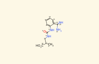 CC(CNC(=O)Nc1ccccc1C(=N)N)C(=O)O